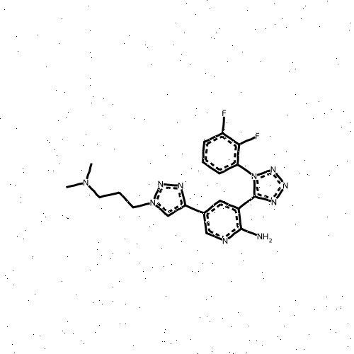 CN(C)CCCn1cc(-c2cnc(N)c(-c3nnnn3-c3cccc(F)c3F)c2)nn1